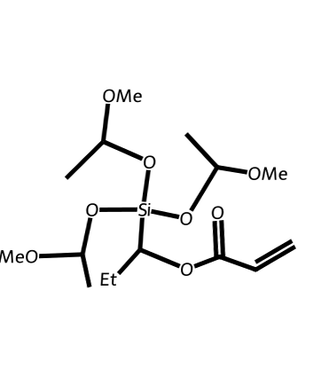 C=CC(=O)OC(CC)[Si](OC(C)OC)(OC(C)OC)OC(C)OC